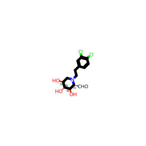 O=C[C@@H]1[C@@H](O)[C@H](O)[C@@H](O)CN1CCc1ccc(Cl)c(Cl)c1